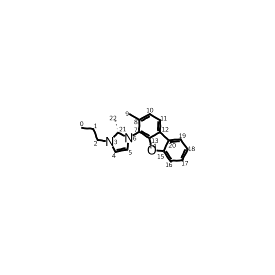 CCCN1C=CN(c2c(C)ccc3c2oc2ccccc23)[C@H]1C